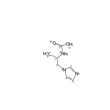 CC(Cn1ccnc1)NC(=O)O